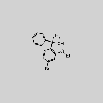 CCOc1cc(Br)ccc1C(C)(O)c1ccccc1